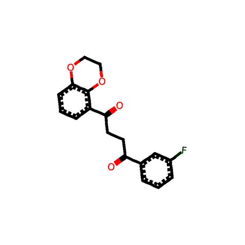 O=C(CCC(=O)c1cccc2c1OCCO2)c1cccc(F)c1